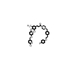 Cc1cc(/C=C/C(=O)N2CCN(Cc3ccc(CCOc4ccc(F)cc4)cc3)CC2)cc(Cl)c1Oc1ccc(OCc2ccc(Cl)nc2)cn1